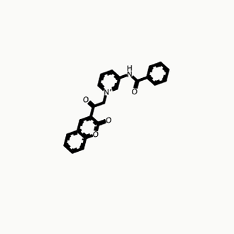 O=C(Nc1ccc[n+](CC(=O)c2cc3ccccc3oc2=O)c1)c1ccccc1